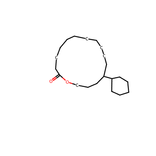 O=C1CCCCCCCCCCC(C2CCCCC2)CCCO1